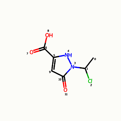 CC(Cl)n1[nH]c(C(=O)O)cc1=O